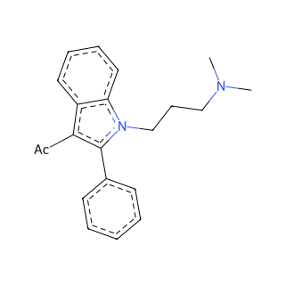 CC(=O)c1c(-c2ccccc2)n(CCCN(C)C)c2ccccc12